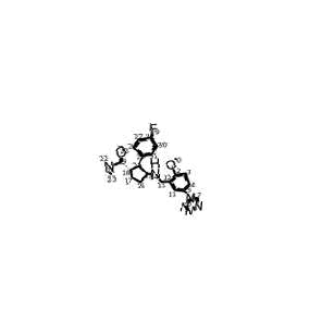 COc1ccc(-n2cnnn2)cc1CN[C@H]1CC[C@H](C(=O)N(C)C)[C@H]1c1ccc(F)cc1